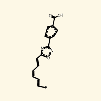 O=C(O)c1ccc(-c2noc(/C=C/C=C\C=C\F)n2)cc1